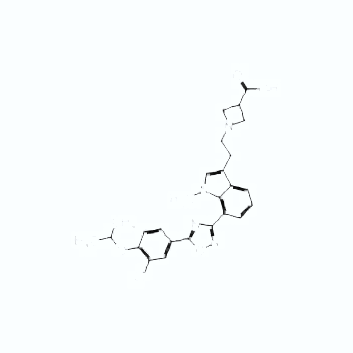 CC(C)Oc1ccc(-c2nc(-c3cccc4c(CCN5CC(C(=O)O)C5)cn(C)c34)no2)cc1Cl